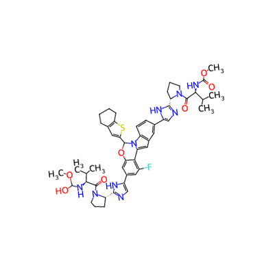 COC(=O)N[C@H](C(=O)N1CCC[C@H]1c1ncc(-c2ccc3c(c2)cc2n3C(c3cc4c(s3)CCCC4)Oc3cc(-c4cnc([C@@H]5CCCN5C(=O)[C@@H](NC(O)OC)C(C)C)[nH]4)cc(F)c3-2)[nH]1)C(C)C